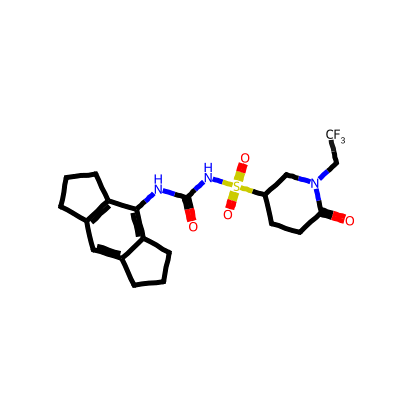 O=C(Nc1c2c(cc3c1CCC3)CCC2)NS(=O)(=O)C1CCC(=O)N(CC(F)(F)F)C1